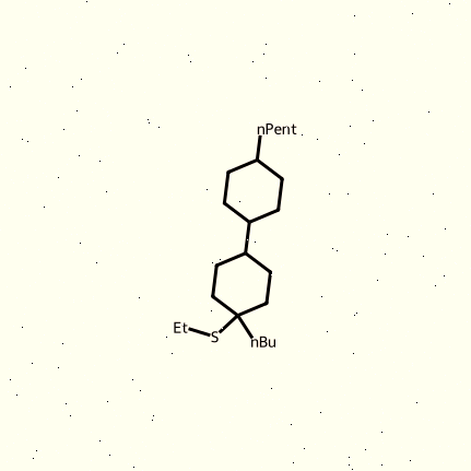 CCCCCC1CCC(C2CCC(CCCC)(SCC)CC2)CC1